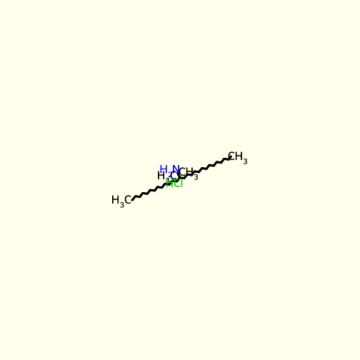 CCCCCCCCCCCCCCC(CCCCCCCCCCCCCC)C(C)(C)N.Cl